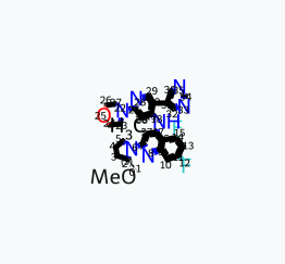 COC[C@@H]1CCCN1c1nc2cc(F)cc(F)c2c(Nc2cc(N3CCOCC3)ncc2-c2cncnc2)c1C